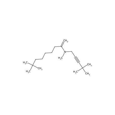 C=C(CCCCCC(C)(C)C)N(C)CC#CC(C)(C)C